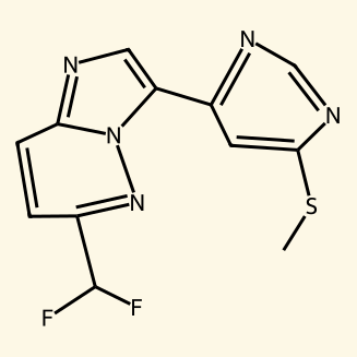 CSc1cc(-c2cnc3ccc(C(F)F)nn23)ncn1